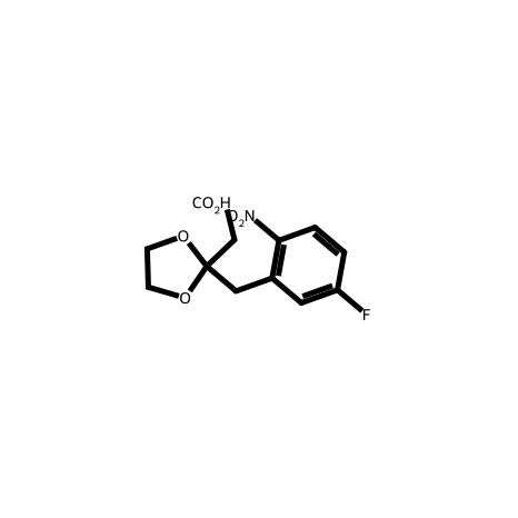 O=C(O)CC1(Cc2cc(F)ccc2[N+](=O)[O-])OCCO1